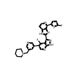 Fc1ccc(-c2nccc3[nH]c(-c4n[nH]c5ncc(-c6cncc(CN7CCCCC7)c6)c(F)c45)nc23)s1